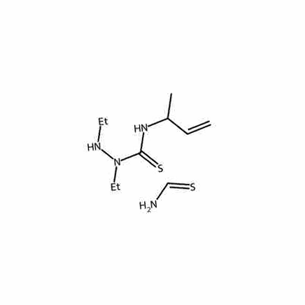 C=CC(C)NC(=S)N(CC)NCC.NC=S